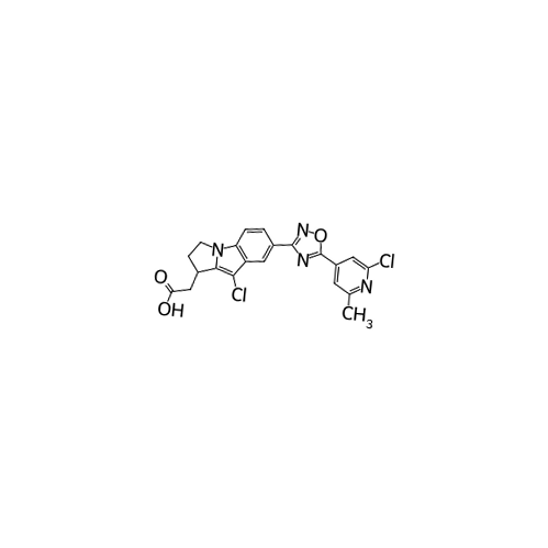 Cc1cc(-c2nc(-c3ccc4c(c3)c(Cl)c3n4CCC3CC(=O)O)no2)cc(Cl)n1